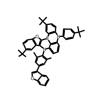 Cc1cc(-c2coc3ccccc23)cc(C)c1N1c2cccc3c2B(c2cc(C(C)(C)C)ccc2N3c2ccc(C(C)(C)C)cc2)c2oc3ccc(C(C)(C)C)cc3c21